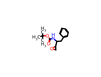 CC(C)(C)OC(=O)NC(Cc1ccccc1)C1CO1